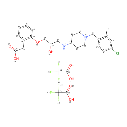 Cc1cc(Cl)ccc1CN1CCC(NC[C@H](O)COc2ccccc2CC(=O)O)CC1.O=C(O)C(F)(F)F.O=C(O)C(F)(F)F